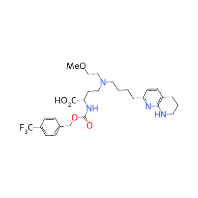 COCCN(CCCCc1ccc2c(n1)NCCC2)CCC(NC(=O)OCc1ccc(C(F)(F)F)cc1)C(=O)O